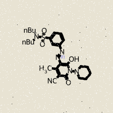 CCCCN(CCCC)S(=O)(=O)c1cccc(/N=N/c2c(C)c(C#N)c(=O)n(N3CCCCC3)c2O)c1